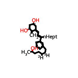 [2H]C(CCC(C)O)C([2H])Cc1cccc(C(=CC=C2C[C@@H](O)C[C@H](O)C2=C)CCCCCCC)c1